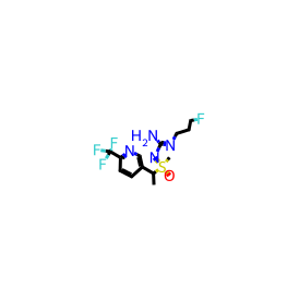 CC(c1ccc(C(F)(F)F)nc1)S(C)(=O)=N/C(N)=N/CCCF